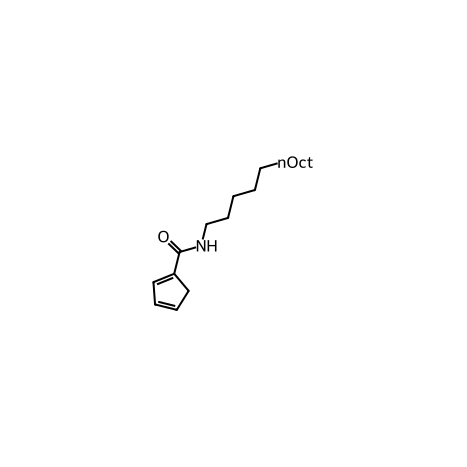 CCCCCCCCCCCCCNC(=O)C1=CC=CC1